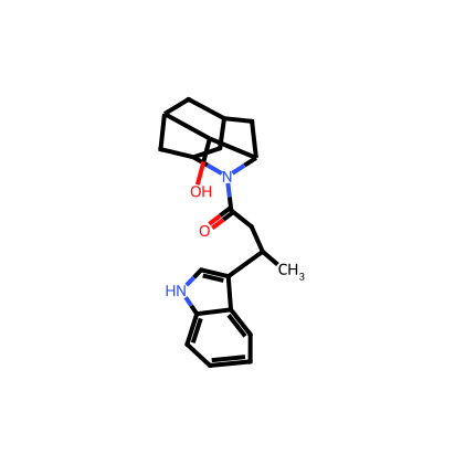 CC(CC(=O)N1C2CC3CC(C2)C(O)C1C3)c1c[nH]c2ccccc12